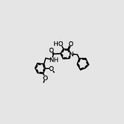 COc1cccc(CNC(=O)c2ccn(Cc3ccccc3)c(=O)c2O)c1OC